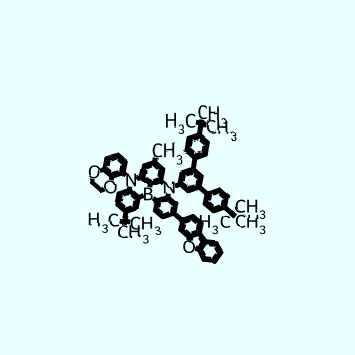 Cc1cc2c3c(c1)N(c1cccc4c1OCCO4)c1ccc(C(C)(C)C)cc1B3c1ccc(-c3ccc4c(c3)oc3ccccc34)cc1N2c1cc(-c2ccc(C(C)(C)C)cc2)cc(-c2ccc(C(C)(C)C)cc2)c1